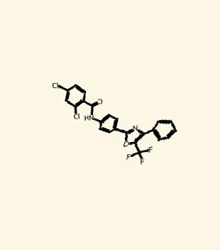 O=C(Nc1ccc(-c2nc(-c3ccccc3)c(C(F)(F)F)o2)cc1)c1ccc(Cl)cc1Cl